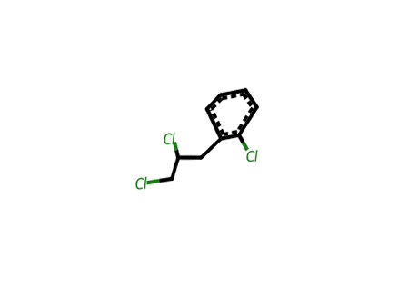 ClCC(Cl)Cc1ccccc1Cl